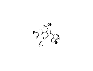 C[Si](C)(C)CCOCn1c(-c2ccnc3[nH]ccc23)cc(C(=O)O)c1-c1ccc(F)c(F)c1